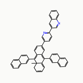 CC12CC=CC=C1C(c1ccc3ccccc3c1)=c1cc(-c3ccc(-c4cnc5ccccc5c4)nc3)ccc1=C2c1ccc2ccccc2c1